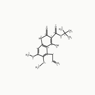 C=CCc1c(OC)c(OC)cc2[nH]c(=O)c(C(=O)OC(C)(C)C)c(O)c12